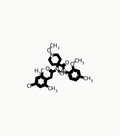 COc1cc(C)ccc1NC(=O)C1(N(C)C(=O)Cc2c(C)cc(Cl)cc2C)CCN(OC)CC1